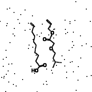 C=CCCCCCCCC(=O)O.C=CCOC(=O)COCCC(C)C